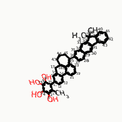 Cc1c(O)c(O)c(O)c(O)c1-c1ccc2c(c1)CC1=c3c-2cccc3=C(c2ccc3cc4c(cc3c2)C(C)(C)c2ccccc2-4)CCC1